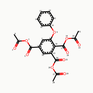 CC(=O)OC(=O)c1cc(Oc2ccccc2)c(C(=O)OC(C)=O)c(C(=O)OC(C)=O)c1